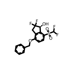 O=S(=O)(c1ccc(OCc2ccccc2)c2c1[C@H](O)C(F)(F)C2)C(F)F